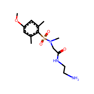 COc1cc(C)c(S(=O)(=O)N(C)CC(=O)NCCN)c(C)c1